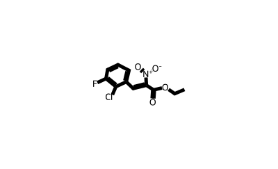 CCOC(=O)/C(=C/c1cccc(F)c1Cl)[N+](=O)[O-]